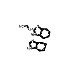 C=CC#N.c1ccc2[nH]cnc2c1.c1ccc2[nH]cnc2c1